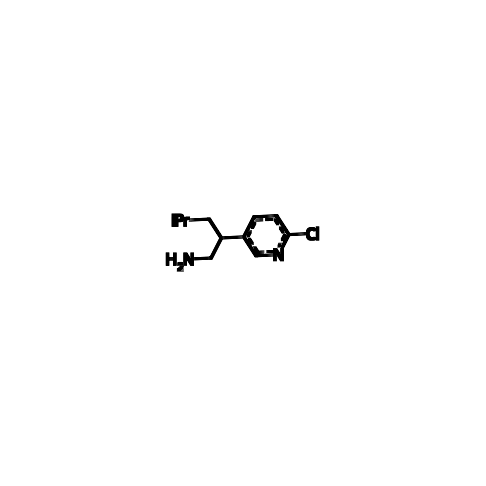 CC(C)CC(CN)c1ccc(Cl)nc1